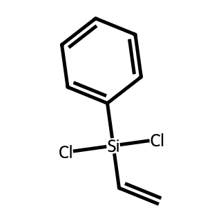 C=C[Si](Cl)(Cl)c1ccccc1